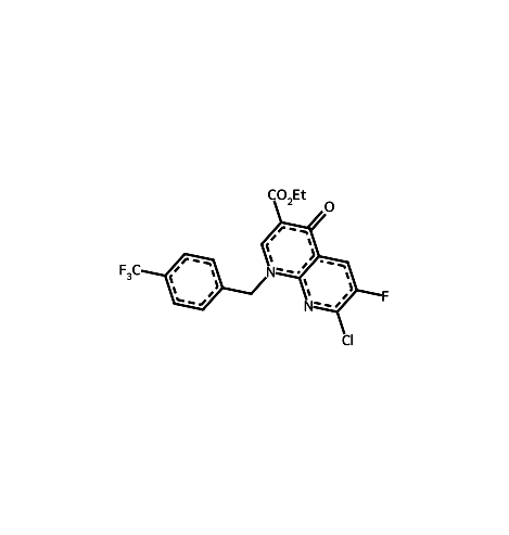 CCOC(=O)c1cn(Cc2ccc(C(F)(F)F)cc2)c2nc(Cl)c(F)cc2c1=O